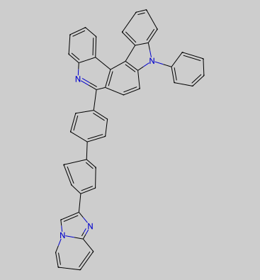 c1ccc(-n2c3ccccc3c3c4c(ccc32)c(-c2ccc(-c3ccc(-c5cn6ccccc6n5)cc3)cc2)nc2ccccc24)cc1